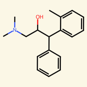 Cc1ccccc1C(c1ccccc1)C(O)CN(C)C